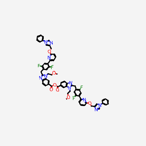 COCCn1c(Cc2cc(F)c(-c3cccc(OCc4cn(-c5ccccc5)cn4)n3)cc2F)nc2ccc(C(=O)OC(=O)c3ccc4nc(Cc5cc(F)c(-c6cccc(OCc7cn(-c8ccccc8)cn7)n6)cc5F)n(CCOC)c4c3)cc21